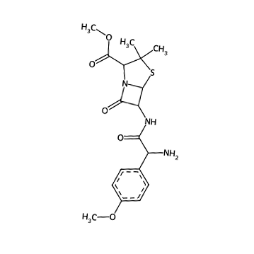 COC(=O)C1N2C(=O)C(NC(=O)C(N)c3ccc(OC)cc3)C2SC1(C)C